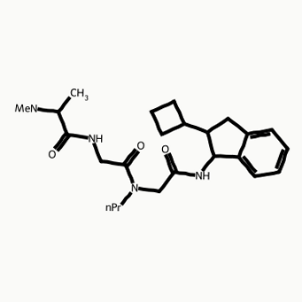 CCCN(CC(=O)NC1c2ccccc2CC1C1CCC1)C(=O)CNC(=O)C(C)NC